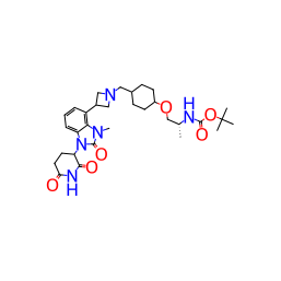 C[C@H](COC1CCC(CN2CC(c3cccc4c3n(C)c(=O)n4C3CCC(=O)NC3=O)C2)CC1)NC(=O)OC(C)(C)C